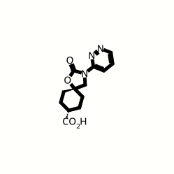 O=C1O[C@]2(CC[C@@H](C(=O)O)CC2)CN1c1cccnn1